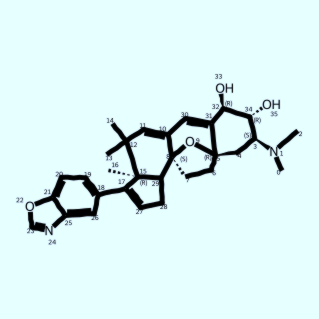 CN(C)[C@H]1C[C@@]23CC[C@@]4(O2)C(=CC(C)(C)[C@]2(C)C(c5ccc6ocnc6c5)=CCC42)C=C3[C@@H](O)[C@@H]1O